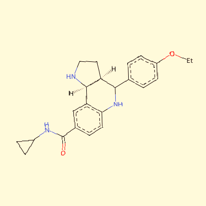 CCOc1ccc(C2Nc3ccc(C(=O)NC4CC4)cc3[C@H]3NCC[C@@H]23)cc1